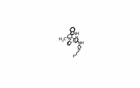 C[C@@H]1Cc2c([nH]c3ccccc23)[C@@H](c2ncc(NC3CN(CCCF)C3)cn2)N1C12CCC(C1)C2